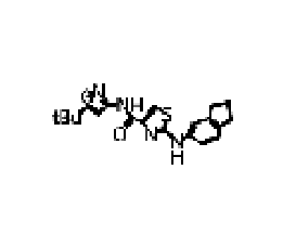 CC(C)(C)c1cc(NC(=O)c2csc(Nc3ccc4c(c3)CCC4)n2)no1